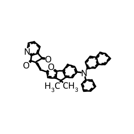 CC1(C)c2cc(N(c3ccccc3)c3ccc4ccccc4c3)ccc2-c2oc(/C=C3\C(=O)c4cccnc4C3=O)cc21